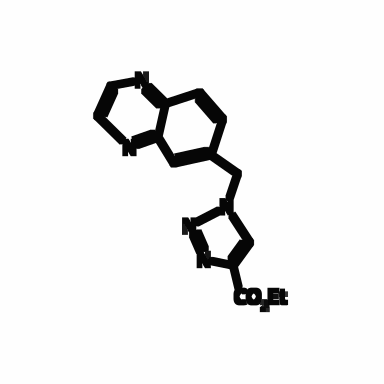 CCOC(=O)c1cn(Cc2ccc3nccnc3c2)nn1